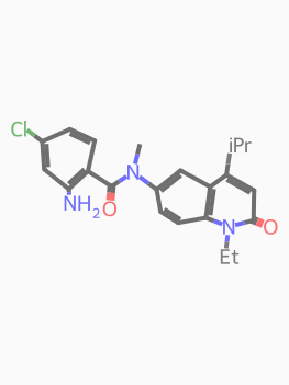 CCn1c(=O)cc(C(C)C)c2cc(N(C)C(=O)c3ccc(Cl)cc3N)ccc21